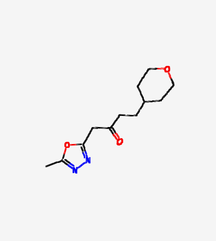 Cc1nnc(CC(=O)CCC2CCOCC2)o1